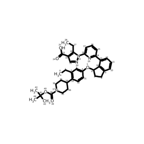 CCc1cc(OC2CCc3cccc(-c4cccc(-n5ncc(C(=O)O)c5CC)n4)c32)ccc1C1CCN(C(=O)OC(C)(C)C)CC1